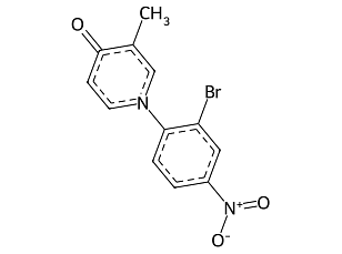 Cc1cn(-c2ccc([N+](=O)[O-])cc2Br)ccc1=O